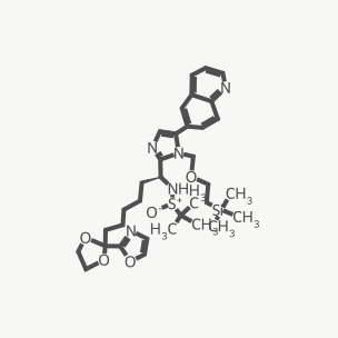 CC(C)(C)[S+]([O-])N[C@@H](CCCCCC1(c2ncco2)OCCO1)c1ncc(-c2ccc3ncccc3c2)n1COCC[Si](C)(C)C